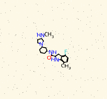 CN[C@H]1CCN(C2CCC[C@@H](NC(=O)C3Cc4c(F)ccc(C)c4N3)C2)C1